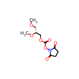 COC[C@H](COC(=O)ON1C(=O)CCC1=O)OC